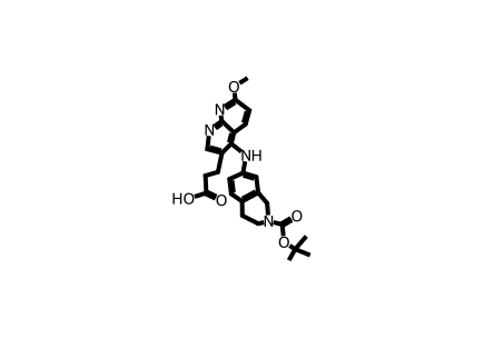 COc1ccc2c(Nc3ccc4c(c3)CN(C(=O)OC(C)(C)C)CC4)c(CCC(=O)O)cnc2n1